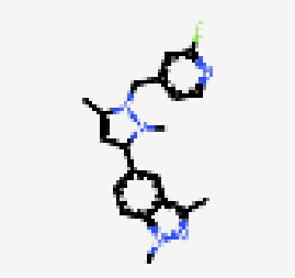 CC1=CC(c2ccc3c(c2)c(C)nn3C)N(C)N1Cc1ccnc(F)c1